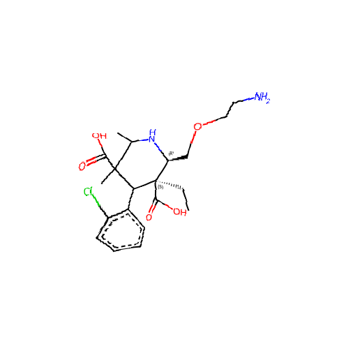 CC[C@]1(C(=O)O)C(c2ccccc2Cl)C(C)(C(=O)O)C(C)N[C@H]1COCCN